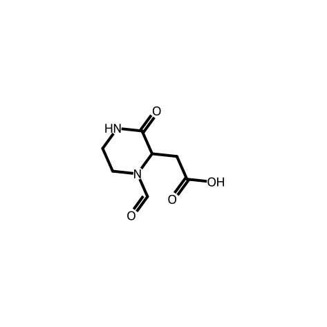 O=CN1CCNC(=O)C1CC(=O)O